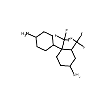 NC1CCC(C2(C(F)(F)F)CCC(N)CC2C(F)(F)F)CC1